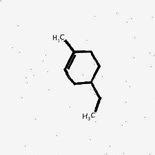 CCC1CC=C(C)CC1